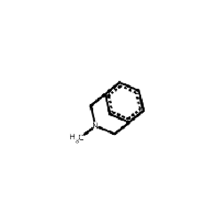 CN1Cc2cccc(c2)C1